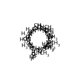 CC[C@H](C)[C@@H]1NC(=O)[C@H](CC(C)C)N(C)C(=O)C[C@@H](C(=O)N2CCCC2)N(C)C(=O)[C@H](CC(C)C)NC(=O)C(C)(C)N(C)C(=O)[C@H](CC(C)C)NC(=O)[C@H](CCc2ccc(C(F)(F)F)c(F)c2)NC(=O)CN(C)C(=O)[C@H](CC2CCCCC2)N(C)C(=O)CN(C)C(=O)CN(C)C1=O